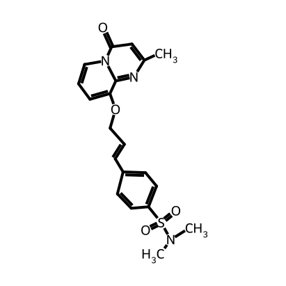 Cc1cc(=O)n2cccc(OCC=Cc3ccc(S(=O)(=O)N(C)C)cc3)c2n1